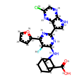 O=C(O)C1C2CCC(CC2)C1Nc1nc(-c2c[nH]c3ncc(Cl)nc23)nc(-c2ccco2)c1F